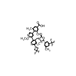 COc1ncc(-c2c(C)cc(C(=O)O)cc2C)cc1-c1cnc(N2CC(F)(F)C2)cc1CN1C(=O)O[C@H](c2cc(C)cc(C(F)(F)F)c2)[C@@H]1C